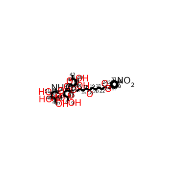 CC(=O)NC1[C@@H](OC2[C@@H](O)C(CO)O[C@@H](OCCCCC(=O)CCCCC(=O)Oc3ccc([N+](=O)[O-])cc3)[C@H]2O[C@H]2C[C@@H](O)[C@H](O)C(C)O2)OC(CO)[C@H](O)[C@@H]1O